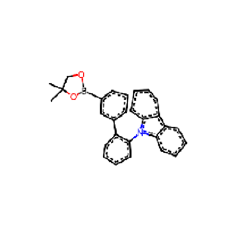 CC1(C)COB(c2cccc(-c3ccccc3-n3c4ccccc4c4ccccc43)c2)O1